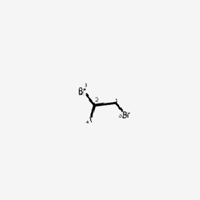 BrCC(Br)I